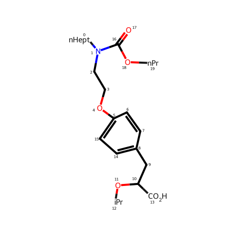 CCCCCCCN(CCOc1ccc(CC(OC(C)C)C(=O)O)cc1)C(=O)OCCC